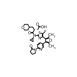 Cc1oc(C)c(-c2nc(N(C(=O)[C@@H](CC(=O)O)CC3CCOCC3)C3CC3)sc2F)c1-c1ccc(N2CCCC2=O)nc1